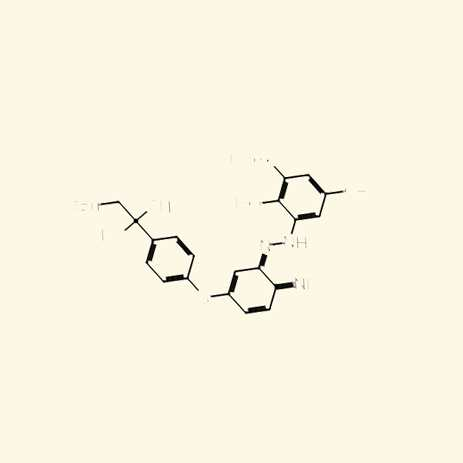 CCCCCCc1cc(C)cc(N/N=C2/C=C(Sc3ccc(C(C)(C)CC(C)(C)C)cc3)C=CC2=N)c1O